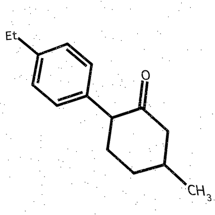 CCc1ccc(C2CCC(C)CC2=O)cc1